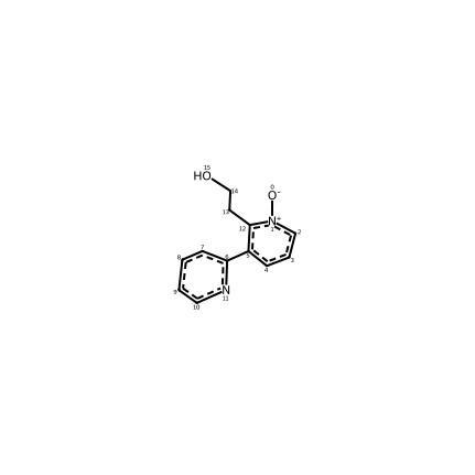 [O-][n+]1cccc(-c2ccccn2)c1CCO